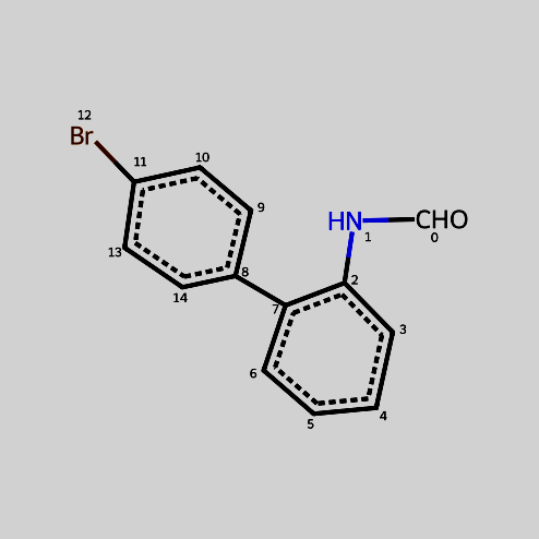 O=CNc1ccccc1-c1ccc(Br)cc1